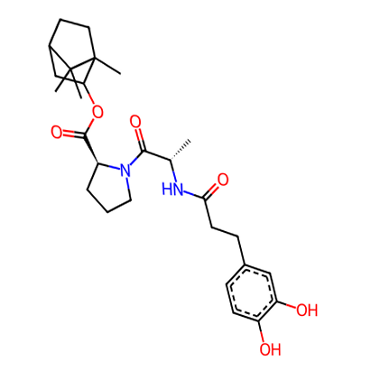 C[C@H](NC(=O)CCc1ccc(O)c(O)c1)C(=O)N1CCC[C@H]1C(=O)OC1CC2CCC1(C)C2(C)C